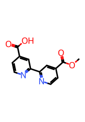 COC(=O)c1ccnc(-c2cc(C(=O)O)ccn2)c1